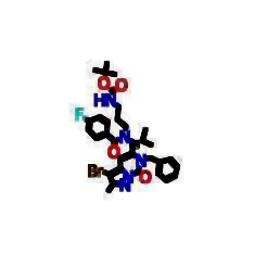 Cc1nn2c(=O)n(Cc3ccccc3)c([C@@H](C(C)C)N(CCCNC(=O)OC(C)(C)C)C(=O)c3ccc(F)cc3)cc2c1Br